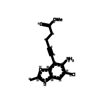 COC(=O)CCC#Cc1c(N)c(Cl)cc2nc(C)oc12